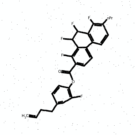 C=CCCc1ccc(OC(=O)c2ccc3c(c2F)C(F)C(F)c2c-3ccc(CCC)c2F)c(F)c1